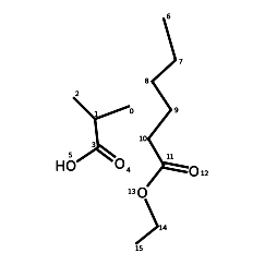 CC(C)C(=O)O.CCCCCC(=O)OCC